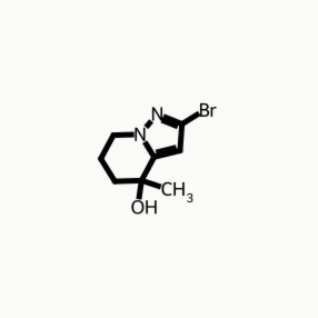 CC1(O)CCCn2nc(Br)cc21